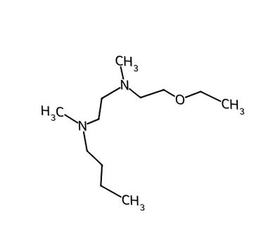 CCCCN(C)CCN(C)CCOCC